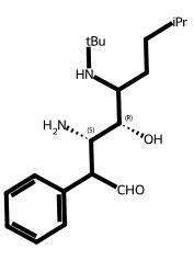 CC(C)CCC(NC(C)(C)C)[C@H](O)[C@@H](N)C(C=O)c1ccccc1